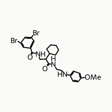 COc1ccc(NCCNC(=O)C(CNC(=O)c2cc(Br)cc(Br)c2)C2CCCCC2)cc1